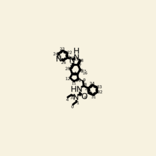 CCN(CC)C(=O)NC(C[C@H]1CCC2=C1[C@@H](C)C1=CNN(c3cccnc3)C1=C2)c1ccccc1